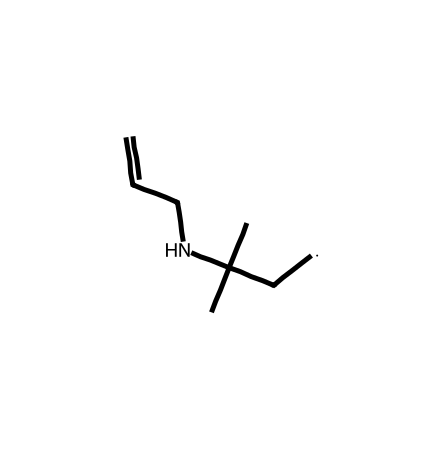 [CH2]CC(C)(C)NCC=C